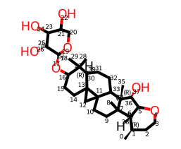 C[C@@H]1CCOC2[C@H]1C1(C)CCC34CC35CCC(O[C@@H]3OCC(O)C(O)[C@H]3O)C(C)(C)[C@@H]5CCC4[C@]1(C)[C@H]2O